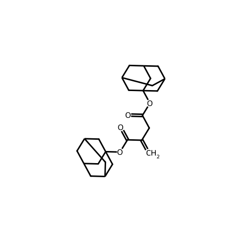 C=C(CC(=O)OC12CC3CC(CC(C3)C1)C2)C(=O)OC12CC3CC(CC(C3)C1)C2